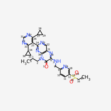 CCCn1c(=O)c(NCc2ccc(S(=O)(=O)CC)cn2)nc2cnc(-c3c(C4CC4)ncnc3C3CC3)nc21